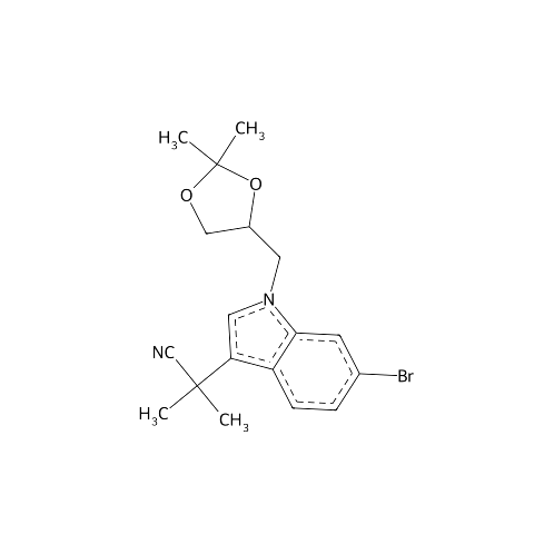 CC1(C)OCC(Cn2cc(C(C)(C)C#N)c3ccc(Br)cc32)O1